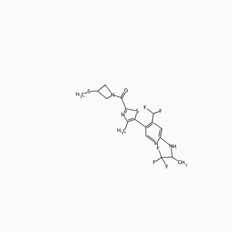 CSC1CN(C(=O)c2nc(C)c(-c3cnc(NC(C)C(F)(F)F)cc3C(F)F)s2)C1